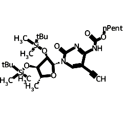 C#Cc1cn([C@@H]2O[C@H](C)[C@@H](O[Si](C)(C)C(C)(C)C)[C@H]2O[Si](C)(C)C(C)(C)C)c(=O)nc1NC(=O)OCCCCC